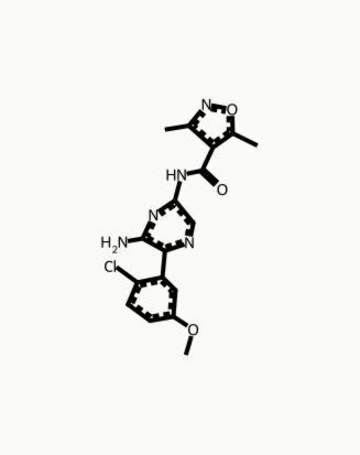 COc1ccc(Cl)c(-c2ncc(NC(=O)c3c(C)noc3C)nc2N)c1